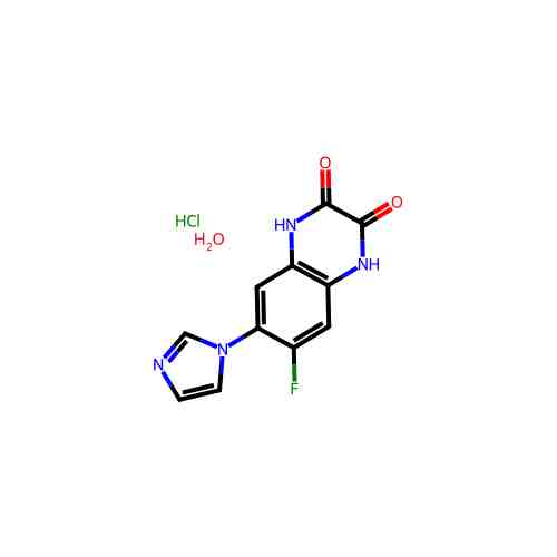 Cl.O.O=c1[nH]c2cc(F)c(-n3ccnc3)cc2[nH]c1=O